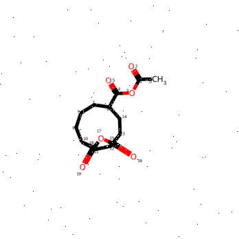 CC(=O)OC(=O)C1CCCC2CCC(C1)C(=O)OC2=O